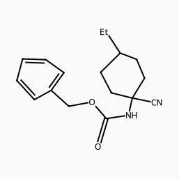 CCC1CCC(C#N)(NC(=O)OCc2ccccc2)CC1